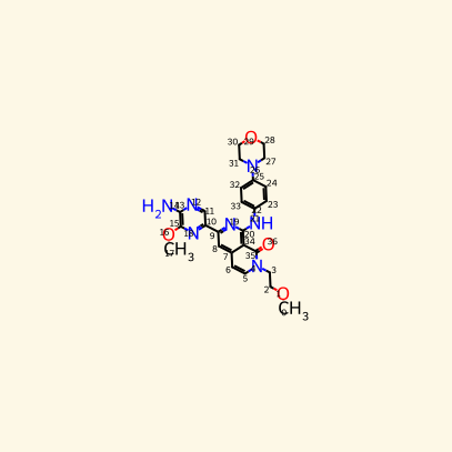 COCCn1ccc2cc(-c3cnc(N)c(OC)n3)nc(Nc3ccc(N4CCOCC4)cc3)c2c1=O